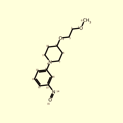 COCCOC1CCN(c2cccc(N=O)c2)CC1